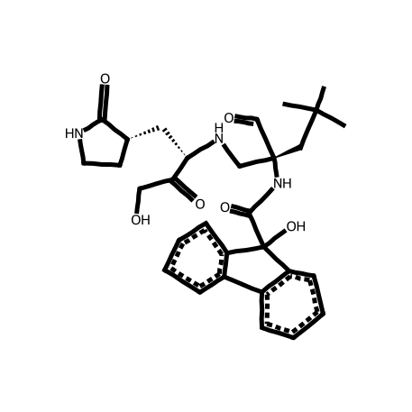 CC(C)(C)C[C@](C=O)(CN[C@@H](C[C@@H]1CCNC1=O)C(=O)CO)NC(=O)C1(O)c2ccccc2-c2ccccc21